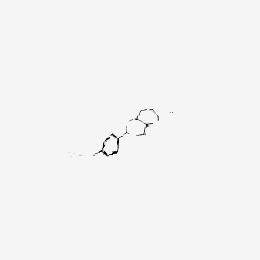 COc1ccc(C2OC[C@H]3O[C@H](CO)CC[C@@H]3O2)cc1